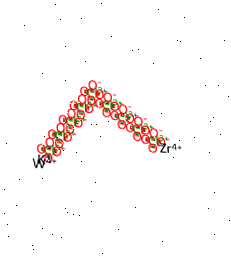 [K+].[O-][Cl+3]([O-])([O-])[O-].[O-][Cl+3]([O-])([O-])[O-].[O-][Cl+3]([O-])([O-])[O-].[O-][Cl+3]([O-])([O-])[O-].[O-][Cl+3]([O-])([O-])[O-].[O-][Cl+3]([O-])([O-])[O-].[O-][Cl+3]([O-])([O-])[O-].[O-][Cl+3]([O-])([O-])[O-].[O-][Cl+3]([O-])([O-])[O-].[W+4].[Zr+4]